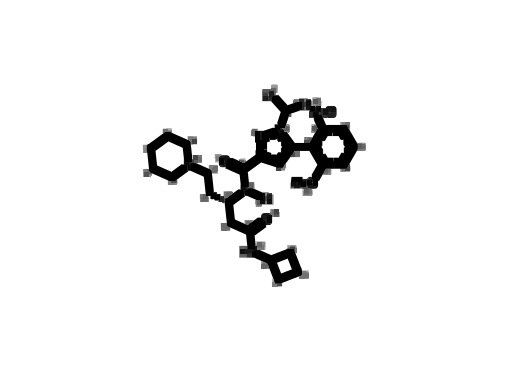 CCC(CC)n1nc(C(=O)N(CC)[C@@H](CCN2CCCCC2)CC(=O)NC2CCC2)cc1-c1c(OC)cccc1OC